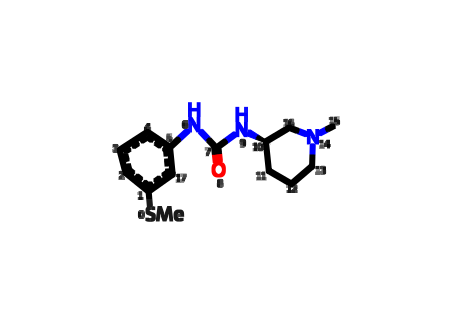 CSc1cccc(NC(=O)N[C@@H]2CCCN(C)C2)c1